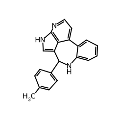 Cc1ccc(C2Nc3ccccc3-c3ccnc4[nH]cc2c34)cc1